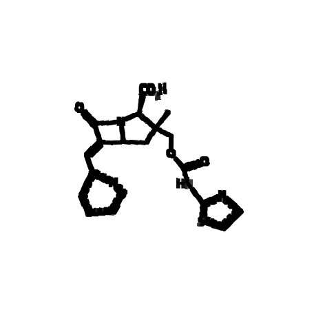 C[C@@]1(COC(=O)Nc2nccs2)CC2/C(=C\c3ccccn3)C(=O)N2[C@H]1C(=O)O